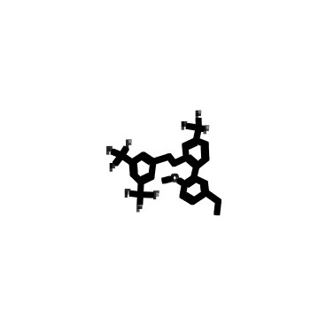 CCc1ccc(OC)c(-c2ccc(C(F)(F)F)cc2CCc2cc(C(F)(F)F)cc(C(F)(F)F)c2)c1